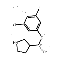 CC(C)[C@@H](Oc1cc(F)cc(Cl)c1)C1CCNC1